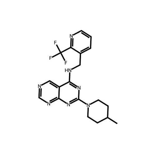 CC1CCN(c2nc(NCc3cccnc3C(F)(F)F)c3cncnc3n2)CC1